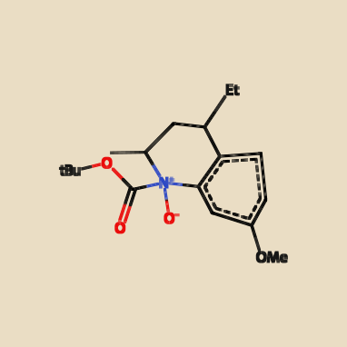 CCC1CC(C)[N+]([O-])(C(=O)OC(C)(C)C)c2cc(OC)ccc21